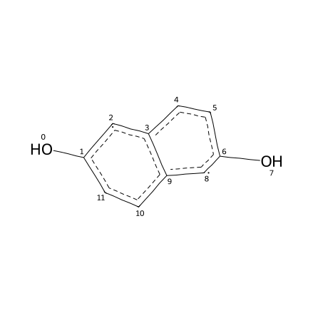 Oc1[c]c2ccc(O)[c]c2cc1